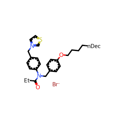 CCCCCCCCCCCCCCOc1ccc(CN(C(=O)CC)c2ccc(C[n+]3ccsc3)cc2)cc1.[Br-]